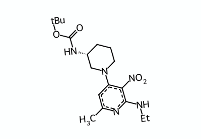 CCNc1nc(C)cc(N2CCC[C@@H](NC(=O)OC(C)(C)C)C2)c1[N+](=O)[O-]